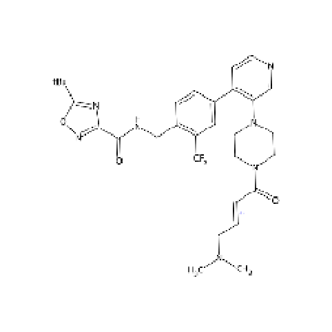 CN(C)C/C=C/C(=O)N1CCN(c2cnccc2-c2ccc(CNC(=O)c3noc(C(C)(C)C)n3)c(C(F)(F)F)c2)CC1